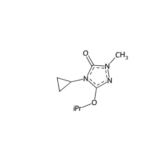 CC(C)Oc1nn(C)c(=O)n1C1CC1